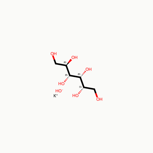 OC[C@@H](O)[C@@H](O)[C@H](O)[C@@H](O)CO.[K+].[OH-]